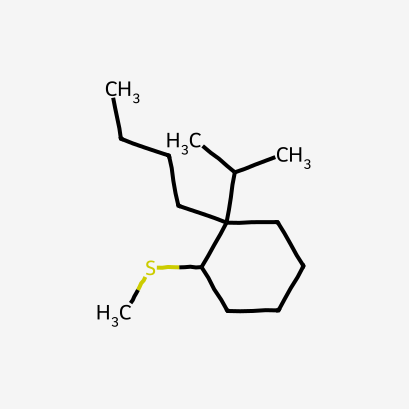 CCCCC1(C(C)C)CCCCC1SC